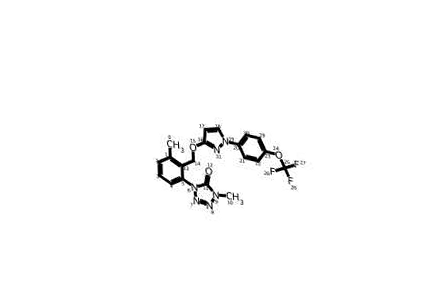 Cc1cccc(-n2nnn(C)c2=O)c1COc1ccn(-c2ccc(OC(F)(F)F)cc2)n1